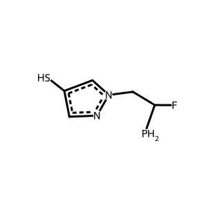 FC(P)Cn1cc(S)cn1